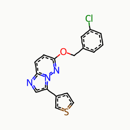 Clc1cccc(COc2ccc3ncc(-c4ccsc4)n3n2)c1